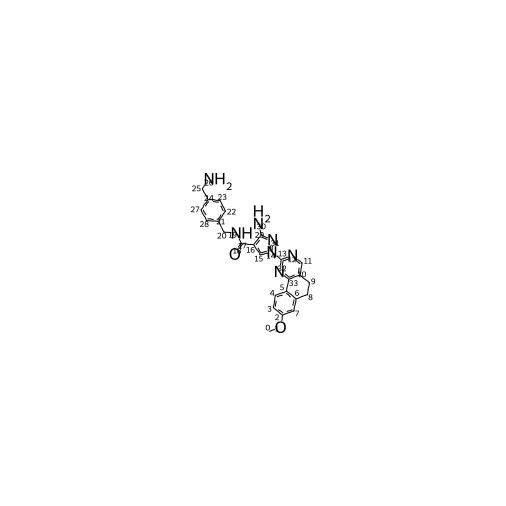 COc1ccc2c(c1)CCc1cnc(-n3cc(C(=O)NCc4ccc(CN)cc4)c(N)n3)nc1-2